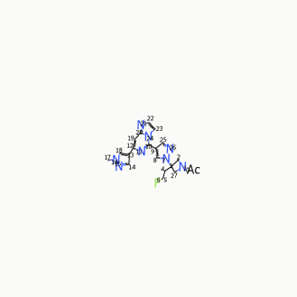 CC(=O)N1CC(CCF)(n2cc(-c3nc(-c4cnn(C)c4)cc4nccn34)cn2)C1